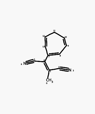 C/C(C#N)=C(\C#N)C1=CC=CCC=C1